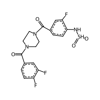 O=C(c1ccc(F)c(F)c1)N1CCN(C(=O)c2ccc(N[SH](=O)=O)c(F)c2)CC1